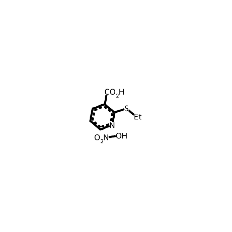 CCSc1ncccc1C(=O)O.O=[N+]([O-])O